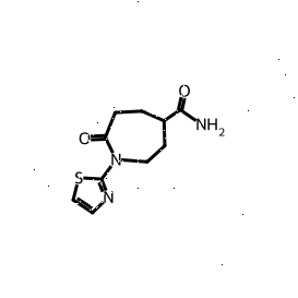 NC(=O)C1CCC(=O)N(c2nccs2)CC1